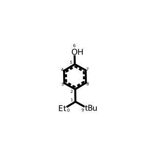 [CH2]CC(c1ccc(O)cc1)C(C)(C)C